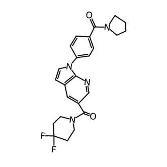 O=C(c1ccc(-n2ccc3cc(C(=O)N4CCC(F)(F)CC4)cnc32)cc1)N1CCCC1